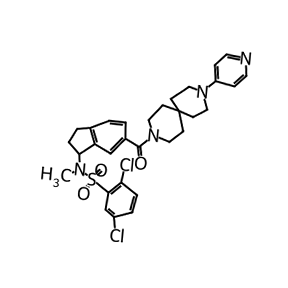 CN(C1CCc2ccc(C(=O)N3CCC4(CC3)CCN(c3ccncc3)CC4)cc21)S(=O)(=O)c1cc(Cl)ccc1Cl